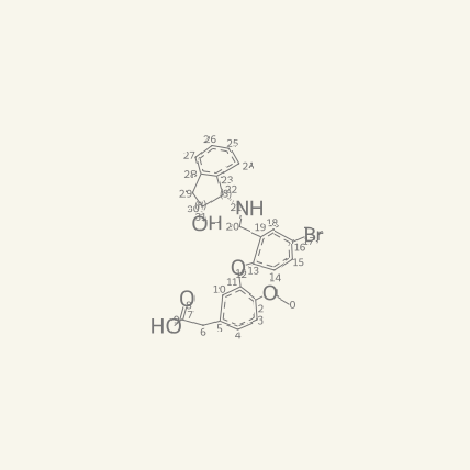 COc1ccc(CC(=O)O)cc1Oc1ccc(Br)cc1CN[C@H]1c2ccccc2C[C@H]1O